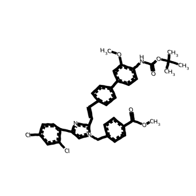 COC(=O)c1ccc(Cn2cc(-c3ccc(Cl)cc3Cl)nc2/C=C/c2ccc(-c3ccc(NC(=O)OC(C)(C)C)c(OC)c3)cc2)cc1